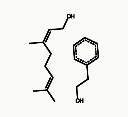 CC(C)=CCC/C(C)=C\CO.OCCc1ccccc1